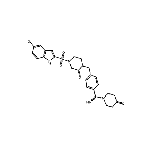 N=C(c1ccc(CN2CCN(S(=O)(=O)c3cc4cc(Cl)ccc4[nH]3)CC2=O)cc1)N1CCC(=O)CC1